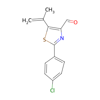 C=C(C)c1sc(-c2ccc(Cl)cc2)nc1C=O